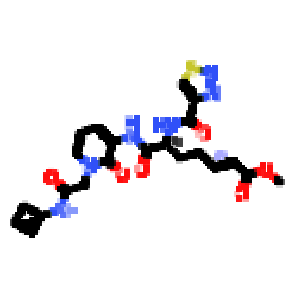 COC(=O)/C=C/CC[C@H](NC(=O)c1csnn1)C(=O)Nc1cccn(CC(=O)NC23CC(C2)C3)c1=O